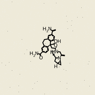 C=C(N)c1ccc2c(c1)CCc1cc(C(N)=O)ccc1C2(C[C@@H](C)NCC(=C)N1C(C#N)C[C@@H]2CC21)C(=O)O